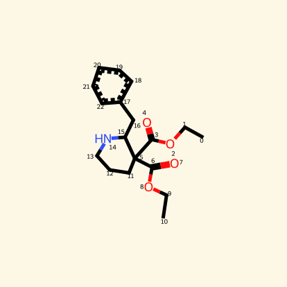 CCOC(=O)C1(C(=O)OCC)CCCNC1Cc1ccccc1